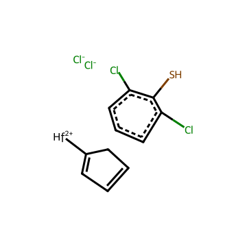 Sc1c(Cl)cccc1Cl.[Cl-].[Cl-].[Hf+2][C]1=CC=CC1